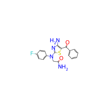 NC(=O)CN(c1ccc(F)cc1)c1nc(N)c(C(=O)c2ccccc2)s1